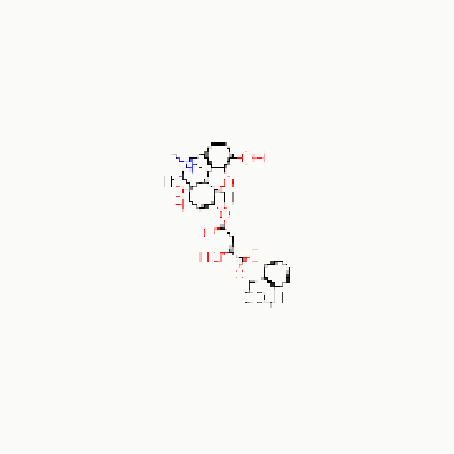 CN1CC[C@]23c4c5ccc(O)c4O[C@H]2C(OC(=O)CC(O)C(=O)O[C@H](C(=O)O)c2ccccc2)=CC[C@@]3(O)[C@H]1C5